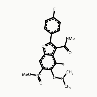 CNC(=O)c1c(-c2ccc(F)cc2)oc2cc([N+](=O)OC)c(ON(C)C(F)(F)F)c(F)c12